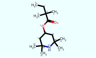 CCC(C)(C)C(=O)OC1CC(C)(C)NC(C)(C)C1